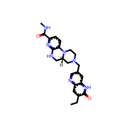 CCc1cc2ncc(CN3CCN4c5ccc(C(=O)NC)nc5NC[C@H]4C3)cc2[nH]c1=O